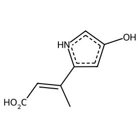 C/C(=C\C(=O)O)c1cc(O)c[nH]1